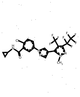 Cn1nc(C(F)(F)C(F)(F)F)c(C(F)(F)F)c1-c1cnn(-c2ccc(Cl)c(C(=O)NC3CC3)c2)c1